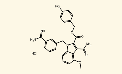 COc1cccc2c1c(C(N)=O)c(C(=O)OCc1ccc(O)cc1)n2Cc1cccc(C(=N)N)c1.Cl